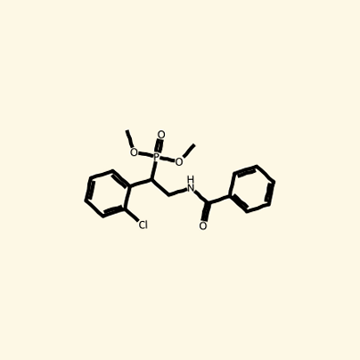 COP(=O)(OC)C(CNC(=O)c1ccccc1)c1ccccc1Cl